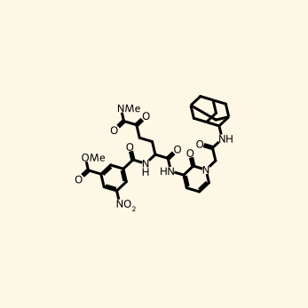 CNC(=O)C(=O)CCC(NC(=O)c1cc(C(=O)OC)cc([N+](=O)[O-])c1)C(=O)Nc1cccn(CC(=O)NC2C3CC4CC(C3)CC2C4)c1=O